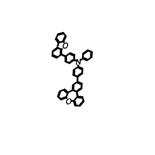 c1ccc(N(c2ccc(-c3ccc4c(c3)-c3ccccc3Oc3ccccc3-4)cc2)c2ccc(-c3cccc4c3oc3ccccc34)cc2)cc1